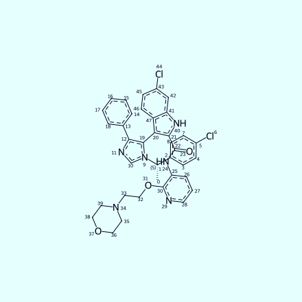 C[C@@H](c1ccc(Cl)cc1)n1cnc(-c2ccccc2)c1-c1c(C(=O)Nc2cccnc2OCCN2CCOCC2)[nH]c2cc(Cl)ccc12